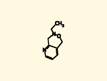 CCN1Cc2ncccc2CO1